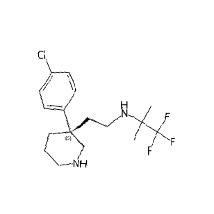 CC(C)(NCC[C@]1(c2ccc(Cl)cc2)CCCNC1)C(F)(F)F